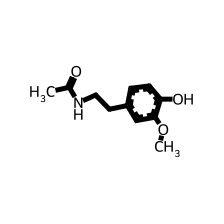 COc1cc(CCNC(C)=O)ccc1O